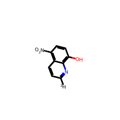 [2H]c1ccc2c([N+](=O)[O-])ccc(O)c2n1